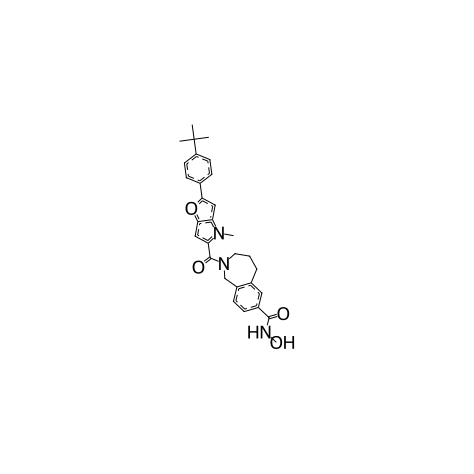 Cn1c(C(=O)N2CCCc3cc(C(=O)NO)ccc3C2)cc2oc(-c3ccc(C(C)(C)C)cc3)cc21